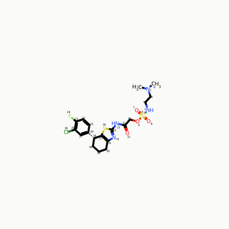 CN(C)CCNS(=O)(=O)OCC(=O)Nc1nc2c(s1)[C@@H](c1ccc(F)c(Cl)c1)CCC2